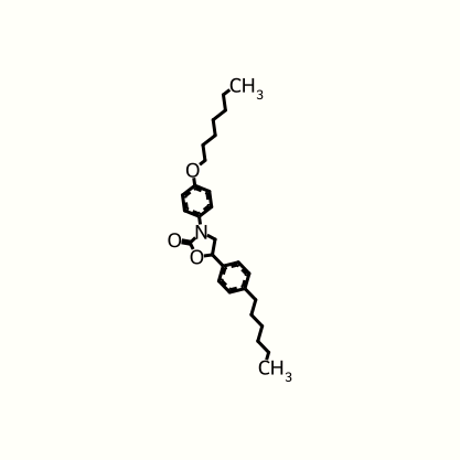 CCCCCCCOc1ccc(N2CC(c3ccc(CCCCCC)cc3)OC2=O)cc1